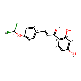 O=C(/C=C/c1ccc(OC(F)F)cc1)c1ccc(O)cc1O